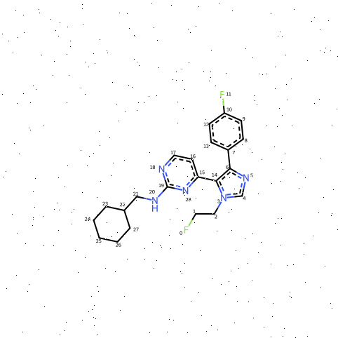 FCCn1cnc(-c2ccc(F)cc2)c1-c1ccnc(NCC2CCCCC2)n1